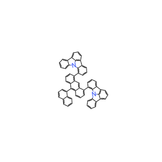 c1ccc2c(-c3c4cccc(-c5cccc6c7cccc8c9ccccc9n(c56)c87)c4cc4c(-c5cccc6c7cccc8c9ccccc9n(c56)c87)cccc34)cccc2c1